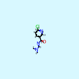 CN(C)C=NC(=O)c1ccc(Cl)nc1